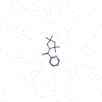 CC1(C)CN(C(=O)c2ccccn2)C(C)(C)C1